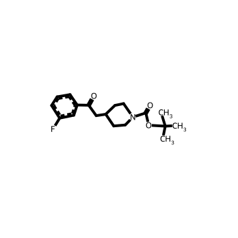 CC(C)(C)OC(=O)N1CCC(CC(=O)c2cccc(F)c2)CC1